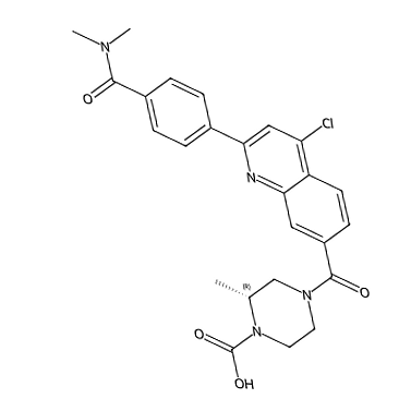 C[C@@H]1CN(C(=O)c2ccc3c(Cl)cc(-c4ccc(C(=O)N(C)C)cc4)nc3c2)CCN1C(=O)O